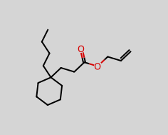 C=CCOC(=O)CCC1(CCCC)CCCCC1